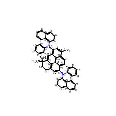 CC(C)c1cc(N(C2=c3ccccc3=CCC2)c2ccccc2)c2cc3c4c(cc(N(C5=c6ccccc6=CCC5)c5ccccc5)c5ccc1c2c54)CCC3(C)C